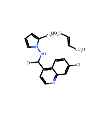 CCC(Nn1cccc1C=O)c1ccnc2cc(Cl)ccc12.O=C(O)C=CC(=O)O